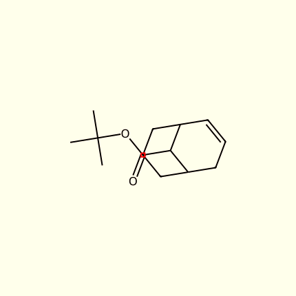 CC(C)(C)OC(=O)C1C2C=CCC1CCC2